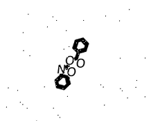 O=C(Oc1nc2ccccc2o1)c1ccccc1